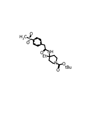 CCC1(NC(=O)Cc2ccc(S(C)(=O)=O)cc2)CCN(C(=O)OC(C)(C)C)CC1